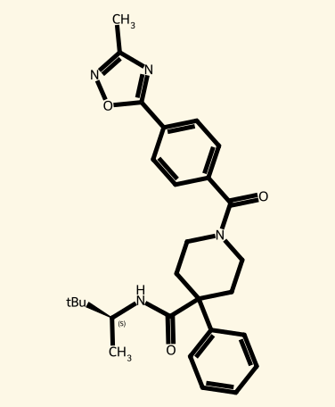 Cc1noc(-c2ccc(C(=O)N3CCC(C(=O)N[C@@H](C)C(C)(C)C)(c4ccccc4)CC3)cc2)n1